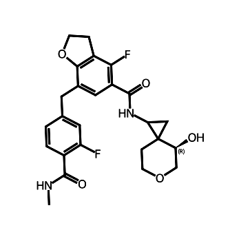 CNC(=O)c1ccc(Cc2cc(C(=O)NC3CC34CCOC[C@@H]4O)c(F)c3c2OCC3)cc1F